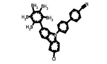 Bc1c(B)c(B)c(-c2ccc3c4cc(Cl)ccc4n(-c4ccc(-c5ccc(C#N)cc5)cc4)c3c2)c(B)c1B